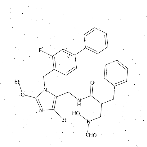 CCOc1nc(CC)c(CNC(=O)C(Cc2ccccc2)CN(O)C=O)n1Cc1ccc(-c2ccccc2)cc1F